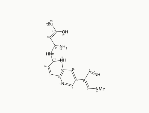 CN/C=C(\C=N)c1cnc2c(c1)NC(NC(N)/C=C(\O)C(C)(C)C)C=C2